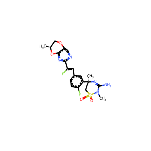 C[C@H]1COc2cnc(/C(F)=C/c3ccc(F)c([C@]4(C)CS(=O)(=O)N(C)C(N)=N4)c3)nc2O1